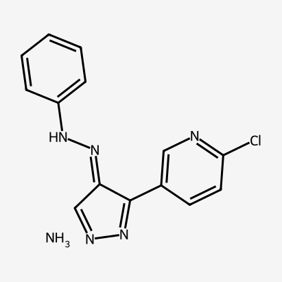 Clc1ccc(C2=NN=CC2=NNc2ccccc2)cn1.N